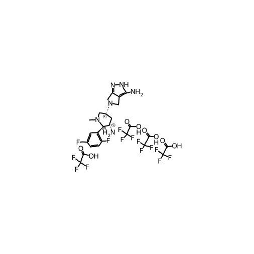 CN1C[C@H](N2Cc3n[nH]c(N)c3C2)C[C@H](N)[C@H]1c1cc(F)ccc1F.O=C(O)C(F)(F)F.O=C(O)C(F)(F)F.O=C(O)C(F)(F)F.O=C(O)C(F)(F)F